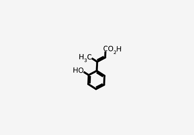 C/C(=C\C(=O)O)c1ccccc1O